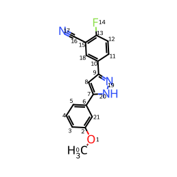 COc1cccc(-c2cc(-c3ccc(F)c(C#N)c3)n[nH]2)c1